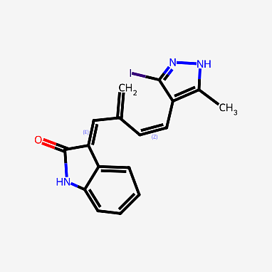 C=C(/C=C\c1c(I)n[nH]c1C)/C=C1/C(=O)Nc2ccccc21